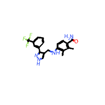 Cc1c(NCc2c[nH]nc2-c2cccc(C(F)(F)F)c2)ccc(C(N)=O)c1C